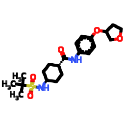 CC(C)(C)S(=O)(=O)N[C@H]1CC[C@H](C(=O)Nc2ccc(OC3CCOC3)cc2)CC1